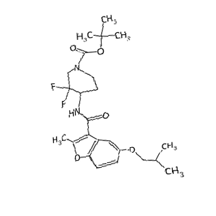 Cc1oc2ccc(OCC(C)C)cc2c1C(=O)NC1CCN(C(=O)OC(C)(C)C)CC1(F)F